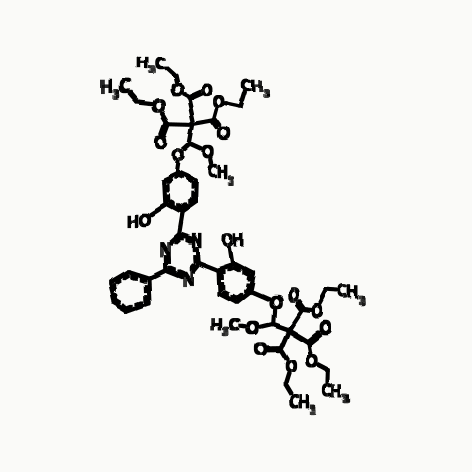 CCOC(=O)C(C(=O)OCC)(C(=O)OCC)C(OC)Oc1ccc(-c2nc(-c3ccccc3)nc(-c3ccc(OC(OC)C(C(=O)OCC)(C(=O)OCC)C(=O)OCC)cc3O)n2)c(O)c1